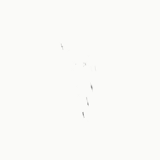 CC12CCC3C4CCC(=O)C=C4C=CC3C1[C@H]1CC1[C@@]21CCC(=O)O1